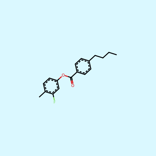 CCCCc1ccc(C(=O)Oc2ccc(C)c(F)c2)cc1